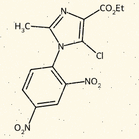 CCOC(=O)c1nc(C)n(-c2ccc([N+](=O)[O-])cc2[N+](=O)[O-])c1Cl